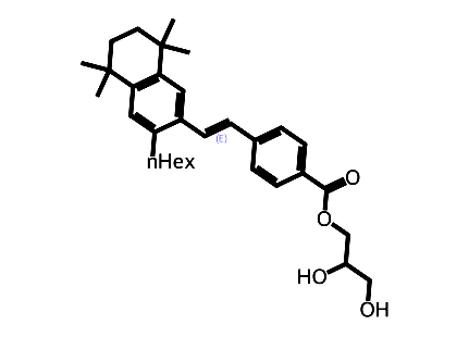 CCCCCCc1cc2c(cc1/C=C/c1ccc(C(=O)OCC(O)CO)cc1)C(C)(C)CCC2(C)C